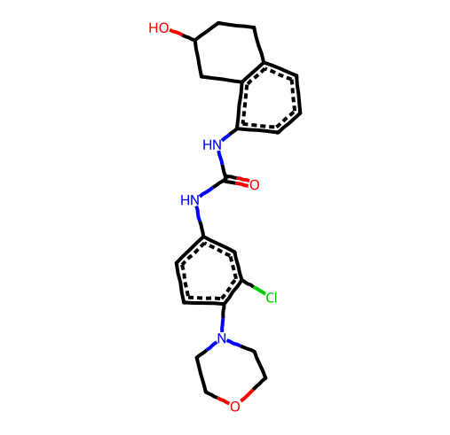 O=C(Nc1ccc(N2CCOCC2)c(Cl)c1)Nc1cccc2c1CC(O)CC2